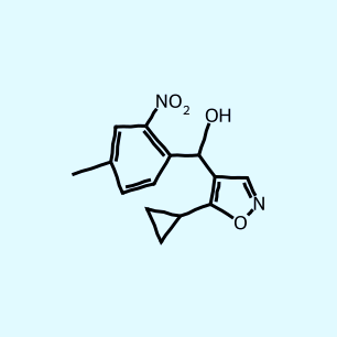 Cc1ccc(C(O)c2cnoc2C2CC2)c([N+](=O)[O-])c1